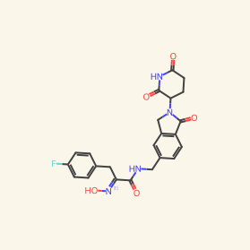 O=C1CCC(N2Cc3cc(CNC(=O)/C(Cc4ccc(F)cc4)=N/O)ccc3C2=O)C(=O)N1